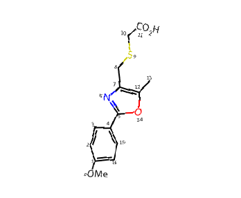 COc1ccc(-c2nc(CSCC(=O)O)c(C)o2)cc1